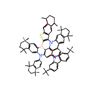 CC(C)(C)c1ccc2c3ccc(C(C)(C)C)cc3n(-c3cc4c5c(c3)N(c3cc6c(cc3-c3ccccc3)C(C)(C)CCC6(C)C)c3c(sc6cc7c(cc36)C3(C)CCC7(C)CC3)B5c3cc5c(cc3N4c3ccc4c(c3)C(C)(C)CCC4(C)C)C(C)(C)CCC5(C)C)c2c1